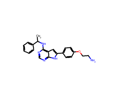 CC(Nc1ncnc2[nH]c(-c3ccc(OCCN)cc3)cc12)c1ccccc1